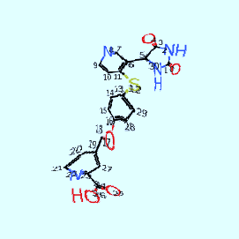 O=C1NC(=O)C(c2cnccc2Sc2ccc(OCc3ccnc(C(=O)O)c3)cc2)N1